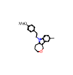 COc1ccc(CCn2c3c(c4cc(C)ccc42)COCCC3)cc1